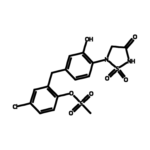 CS(=O)(=O)Oc1ccc(Cl)cc1Cc1ccc(N2CC(=O)NS2(=O)=O)c(O)c1